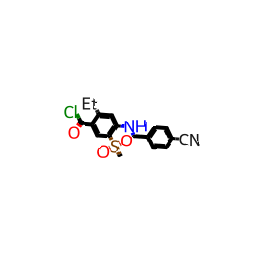 CCc1cc(NCc2ccc(C#N)cc2)c(S(C)(=O)=O)cc1C(=O)Cl